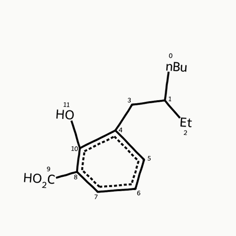 CCCCC(CC)Cc1cccc(C(=O)O)c1O